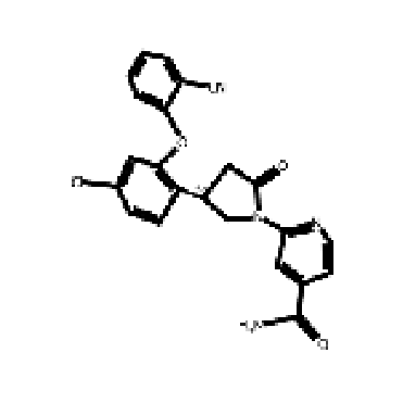 N#Cc1ccccc1Oc1cc(Cl)ccc1[C@H]1CC(=O)N(c2cc(C(N)=O)ccn2)C1